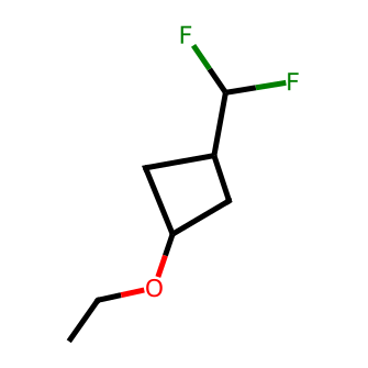 CCOC1CC(C(F)F)C1